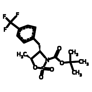 C[C@H]1OS(=O)(=O)N(C(=O)OC(C)(C)C)[C@H]1Cc1ccc(C(F)(F)F)cc1